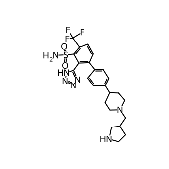 NS(=O)(=O)c1c(C(F)(F)F)ccc(-c2ccc(C3CCN(CC4CCNC4)CC3)cc2)c1-c1nnn[nH]1